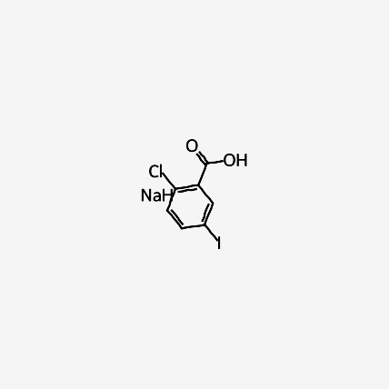 O=C(O)c1cc(I)ccc1Cl.[NaH]